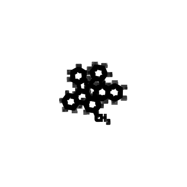 Cc1ccc2c3c(c4ccccc4c2c1)-c1ccccc1[Si]3(c1ccccc1)c1ncc2ccccc2n1